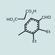 CCc1c(C)ccc(C=O)c1CC.O=C(O)CC(=O)O